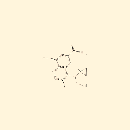 COc1cc(C(N)=O)cc2c(C(CO)C3(F)CC3)c(C)nnc12